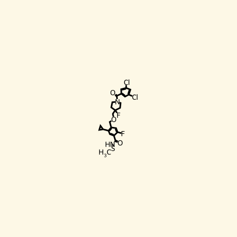 CSNC(=O)c1cc(C2CC2)c(COCC2(F)CCN(C(=O)c3cc(Cl)cc(Cl)c3)CC2)cc1F